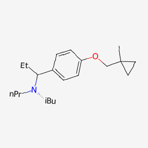 CCCN(C(CC)c1ccc(OCC2(C)CC2)cc1)[C@@H](C)CC